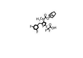 CN(C(=O)OC1CC2CCC(C1)N2)c1ccsc1Cc1cc(F)cc(F)c1.O=C(O)C(F)(F)F